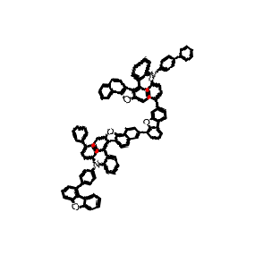 c1ccc(-c2ccc(N(c3ccc(-c4ccc5c(c4)oc4c(-c6ccc7c(ccc8c7oc7cccc(-c9ccccc9N(c9ccc(-c%10ccccc%10)cc9)c9ccc(-c%10cccc%11oc%12ccccc%12c%10%11)cc9)c78)c6)cccc45)cc3)c3ccccc3-c3cccc4oc5c6ccccc6ccc5c34)cc2)cc1